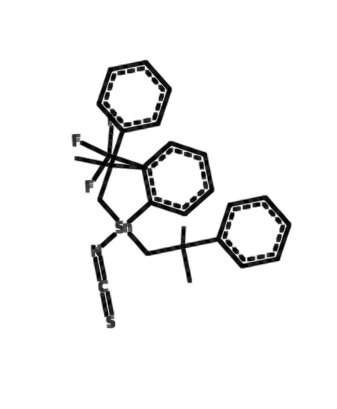 CC(C)([CH2][Sn]([CH2]C(C)(C)c1ccccc1)([N]=C=S)[c]1ccccc1C(F)(F)F)c1ccccc1